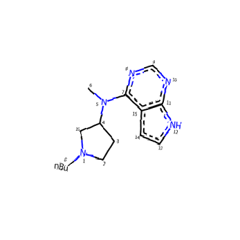 CCCCN1CCC(N(C)c2ncnc3[nH]ccc23)C1